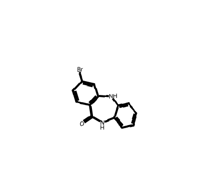 O=C1Nc2ccccc2Nc2cc(Br)ccc21